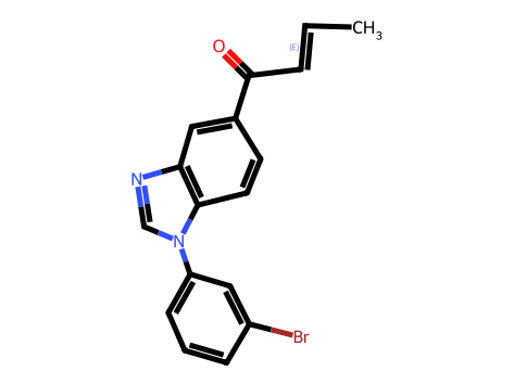 C/C=C/C(=O)c1ccc2c(c1)ncn2-c1cccc(Br)c1